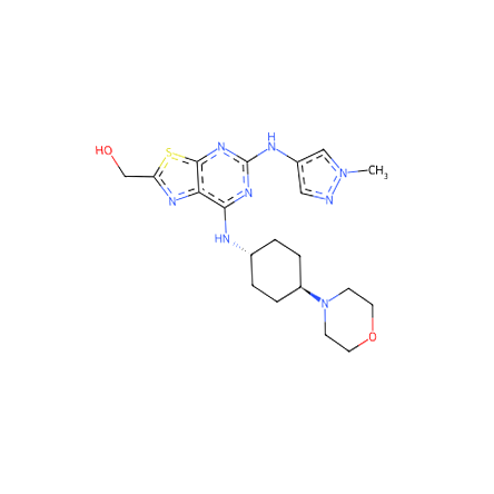 Cn1cc(Nc2nc(N[C@H]3CC[C@H](N4CCOCC4)CC3)c3nc(CO)sc3n2)cn1